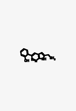 BCc1cc2cc(-c3ccccc3O)nnc2[nH]1